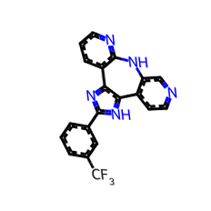 FC(F)(F)c1cccc(-c2nc3c([nH]2)-c2ccncc2Nc2ncccc2-3)c1